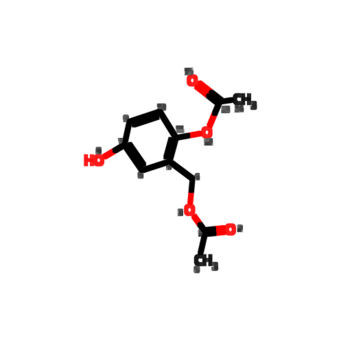 CC(=O)OCc1cc(O)ccc1OC(C)=O